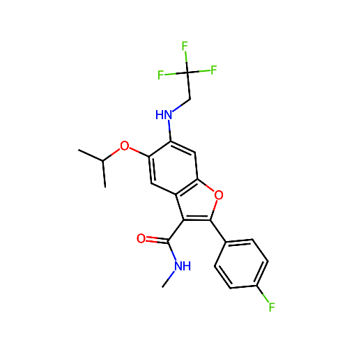 CNC(=O)c1c(-c2ccc(F)cc2)oc2cc(NCC(F)(F)F)c(OC(C)C)cc12